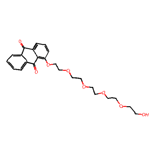 O=C1c2ccccc2C(=O)c2c(OCCOCCOCCOCCOCCO)cccc21